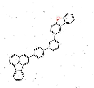 c1cc(-c2ccc(-c3cc4c5c(cccc5c3)-c3ccccc3-4)cc2)cc(-c2ccc3oc4ccccc4c3c2)c1